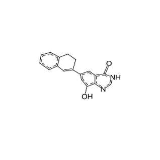 O=c1[nH]cnc2c(O)cc(C3=Cc4ccccc4CC3)cc12